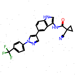 N#CC1(C(=O)Nc2c[nH]c3ccc(-c4cnn(-c5ccc(C(F)(F)F)cc5)c4)cc23)CC1